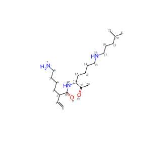 C=CC(CCCCN)C(=O)NC(CCCCNCCCC(C)C)C(C)=O